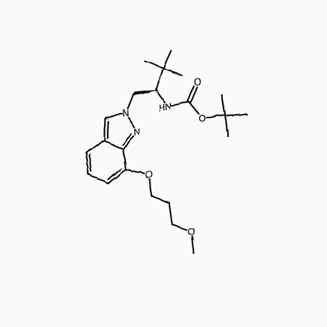 COCCCOc1cccc2cn(C[C@H](NC(=O)OC(C)(C)C)C(C)(C)C)nc12